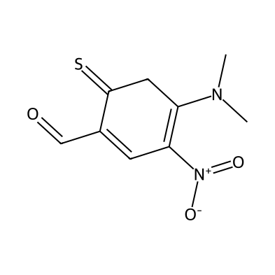 CN(C)C1=C([N+](=O)[O-])C=C(C=O)C(=S)C1